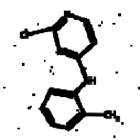 Cc1cc[c]cc1Nc1ccnc(Cl)n1